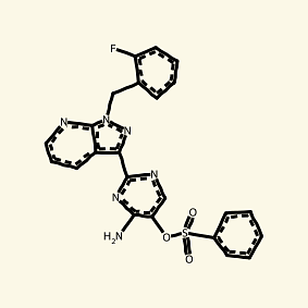 Nc1nc(-c2nn(Cc3ccccc3F)c3ncccc23)ncc1OS(=O)(=O)c1ccccc1